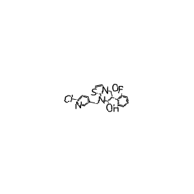 O=C1C(c2ccccc2F)=C(O)N(Cc2ccc(Cl)nc2)C2SC=CN12